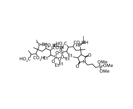 BP(I)C(C)(CC(C(=O)O)C(C(=O)O)C(CC)[Si](OCC)(OCC)O[Si](OCC)(OCC)C(CC)C(C(=O)O)C(CC(C)(PBI)C1C(=O)N(CCC[Si](OC)(OC)OC)C(=O)C1C)C(=O)O)C(C(=O)O)C(C)C(=O)O